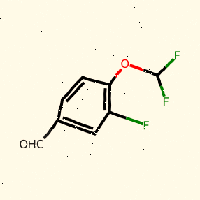 O=Cc1ccc(OC(F)F)c(F)c1